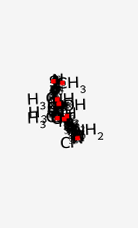 Cc1ncsc1-c1ccc([C@H](C)NC(=O)[C@@H]2C[C@@H](O)CN2C(=O)C(NC(=O)c2csc(N3CCN(c4cc(Cl)nnc4N)CC3)n2)C(C)(C)C)cc1